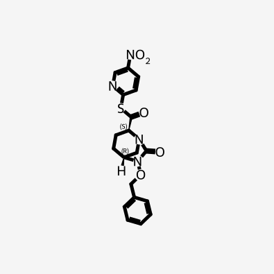 O=C(Sc1ccc([N+](=O)[O-])cn1)[C@@H]1CC[C@@H]2CN1C(=O)N2OCc1ccccc1